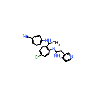 CC(NC1=CCC=C(C#N)C=C1)C1=C(/N=C(\N)Cc2cccnc2)C=CC(Cl)=CC1